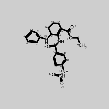 CCOC(=O)C1=C(NC(=O)c2ccc(N[SH](=O)=O)cc2)C(Nc2ccccc2)CCC1